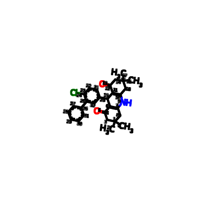 CC1(C)CC(=O)C2=C(C1)NC1=C(C(=O)CC(C)(C)C1)C2c1ccc(Cl)c(-c2ccccc2)c1